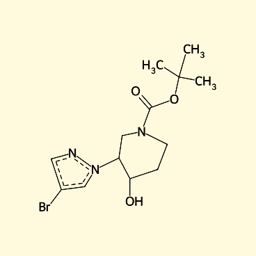 CC(C)(C)OC(=O)N1CCC(O)C(n2cc(Br)cn2)C1